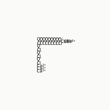 [Ca+2].[Ca+2].[Ca+2].[Ca+2].[Ca+2].[Ca+2].[O-]Cl.[O-]Cl.[O-]Cl.[O-]Cl.[O-]Cl.[O-]Cl.[O-]Cl.[O-]Cl.[O-]Cl.[O-]Cl.[O-]Cl.[O-]Cl